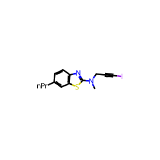 CCCc1ccc2nc(N(C)CC#CI)sc2c1